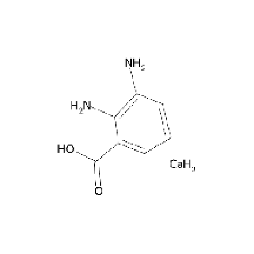 Nc1cccc(C(=O)O)c1N.[CaH2]